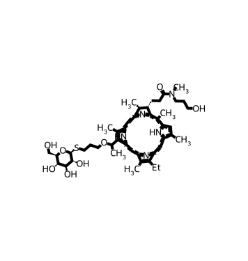 CCC1=C(C)c2cc3[nH]c(cc4nc(c(C)c5cc(C)c(cc1n2)[nH]5)[C@@H](CCC(=O)N(C)CCCO)[C@@H]4C)c(C)c3C(C)OCCCS[C@@H]1O[C@H](CO)[C@@H](O)[C@H](O)[C@H]1O